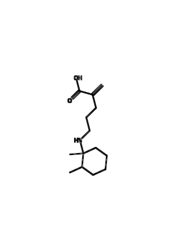 C=C(CCCNC1(C)CCCCC1C)C(=O)O